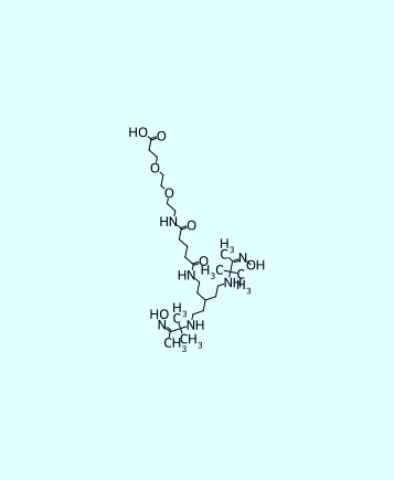 C/C(=N/O)C(C)(C)NCCC(CCNC(=O)CCCC(=O)NCCOCCOCCC(=O)O)CCNC(C)(C)/C(C)=N\O